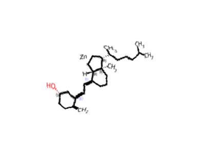 C=C1CC[C@H](O)C/C1=C\C=C1/CCC[C@]2(C)[C@@H](C(C)CCCC(C)C)CC[C@@H]12.[Zn]